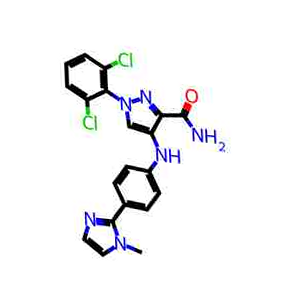 Cn1ccnc1-c1ccc(Nc2cn(-c3c(Cl)cccc3Cl)nc2C(N)=O)cc1